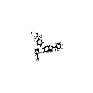 CCS(=O)(=O)c1ccc(Oc2cc3nc(-c4ccccn4)[nH]c3cc2Cn2ccnc2C#N)cc1